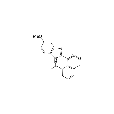 COc1ccc2[nH]c(C(=S=O)c3c(C)cccc3N(C)C)nc2c1